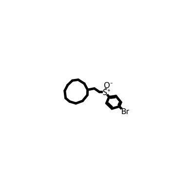 [O-][S+](CCC1CCCCCCCCCC1)c1ccc(Br)cc1